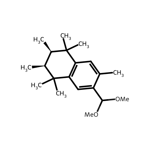 COC(OC)c1cc2c(cc1C)C(C)(C)[C@H](C)[C@H](C)C2(C)C